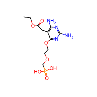 CCOC(=O)Cc1c(N)nc(N)nc1OCCOCP(=O)(O)O